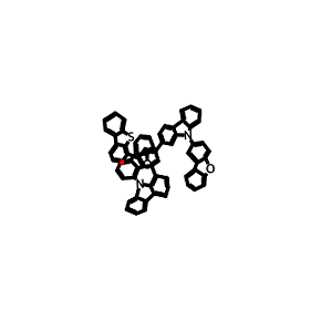 c1ccc2c(c1)oc1ccc(-n3c4ccccc4c4ccc(-c5cc(-c6cccc7c6sc6ccccc67)cc(-c6cccc7c8ccccc8n(-c8cccc9c8oc8ccccc89)c67)c5)cc43)cc12